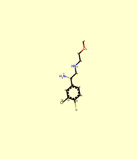 COCCNC[C@@H](N)c1ccc(F)c(Cl)c1